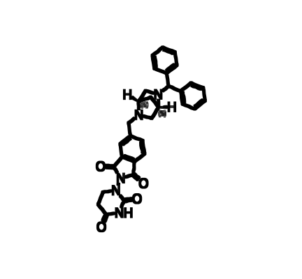 O=C1CCN(N2C(=O)c3ccc(CN4C[C@@H]5C[C@H]4CN5C(c4ccccc4)c4ccccc4)cc3C2=O)C(=O)N1